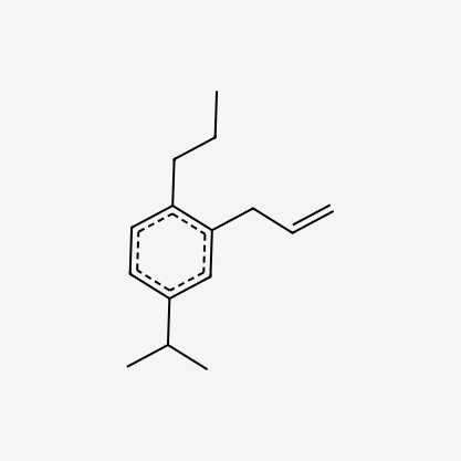 C=CCc1cc(C(C)C)ccc1CCC